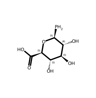 O=C(O)[C@H]1O[C@@H](P)[C@H](O)[C@@H](O)[C@@H]1O